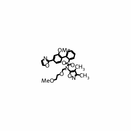 COCCOCN(c1onc(C)c1C)S(=O)(=O)c1ccccc1-c1ccc(-c2ncco2)cc1OC